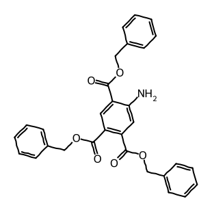 Nc1cc(C(=O)OCc2ccccc2)c(C(=O)OCc2ccccc2)cc1C(=O)OCc1ccccc1